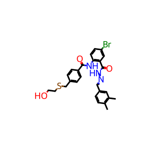 Cc1ccc(C=NNC(=O)c2cc(Br)ccc2NC(=O)c2ccc(CSCCO)cc2)cc1C